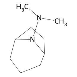 CN(C)N1C2CCCC1CC2